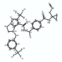 C=NCC1(NC(=O)c2ccc(C(C)NC(=O)c3c(C(F)(F)F)nn4c3N(Cc3cccc(C(F)(F)F)c3)CC4)cc2)CC1